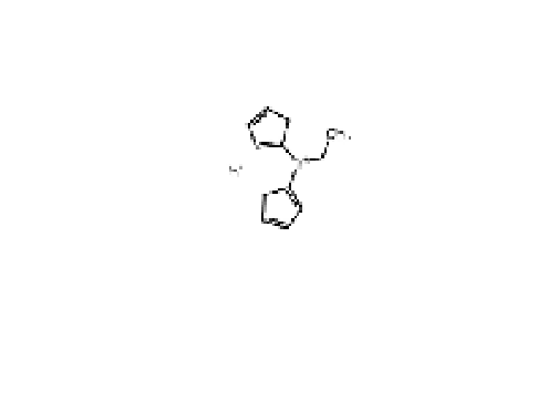 C[CH2][Ti+]([C]1=CC=CC1)[C]1=CC=CC1.[H-]